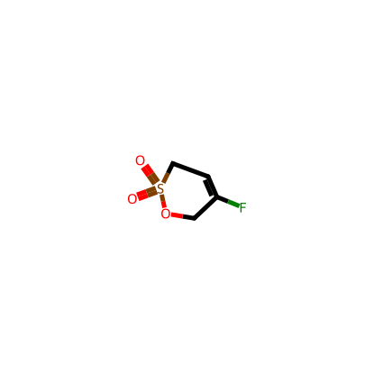 O=S1(=O)CC=C(F)CO1